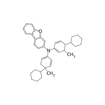 CC1C=C(N(C2=CCC(C)(C3CCCCC3)C=C2)c2ccc3c(c2)oc2ccccc23)C=CC1C1CCCCC1